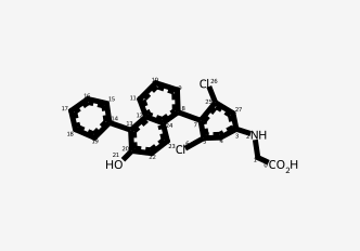 O=C(O)CNc1cc(Cl)c(-c2cccc3c(-c4ccccc4)c(O)ccc23)c(Cl)c1